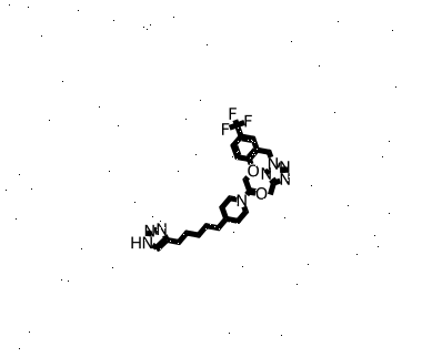 Cc1nnn(Cc2cc(C(F)(F)F)ccc2OCC(=O)N2CCC(CCCCCc3c[nH]nn3)CC2)n1